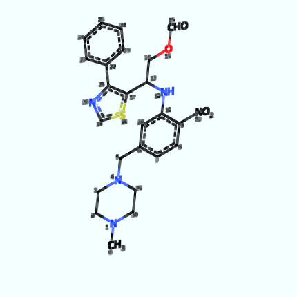 CN1CCN(Cc2ccc([N+](=O)[O-])c(NC(COC=O)c3scnc3-c3ccccc3)c2)CC1